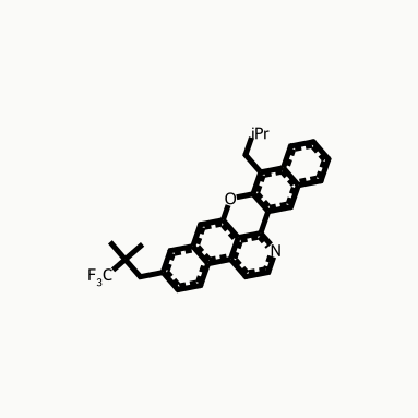 CC(C)Cc1c2c(cc3ccccc13)-c1nccc3c1c(cc1cc(CC(C)(C)C(F)(F)F)ccc13)O2